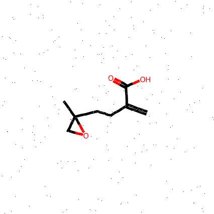 C=C(CCC1(C)CO1)C(=O)O